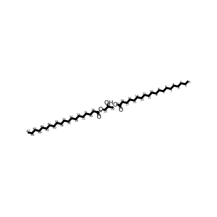 CCCCCCCCCCCCCCCCCCCC(=O)OCC(O)COC(=O)CCCCCCCCCCCCCCCCCCC